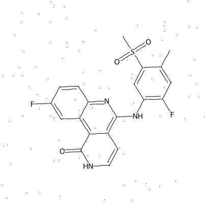 Cc1cc(F)c(Nc2nc3ccc(F)cc3c3c(=O)[nH]ccc23)cc1S(C)(=O)=O